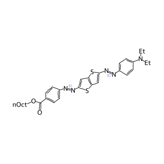 CCCCCCCCOC(=O)c1ccc(/N=N/c2cc3sc(/N=N/c4ccc(N(CC)CC)cc4)cc3s2)cc1